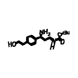 CC(C)(C)OC(=O)NCCC(N)c1ccc(CCO)cc1